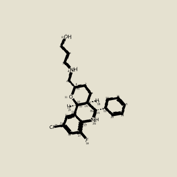 OCCCNC[C@H]1CC[C@@H]2[C@H](O1)c1cc(Cl)cc(F)c1N[C@H]2C1C=CC=CC1